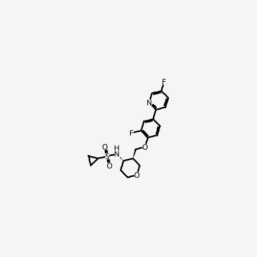 O=S(=O)(N[C@H]1CCOC[C@@H]1COc1ccc(-c2ccc(F)cn2)cc1F)C1CC1